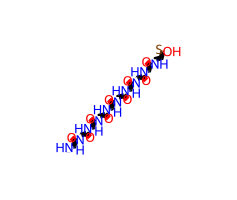 CNCC(=O)NCC(=O)NCC(=O)NCC(=O)NCC(=O)NCC(=O)NCC(=O)NCC(=O)NCC(=O)NCCC(O)=S